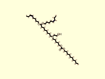 CC/C=C\CCCCOC(CCCCCCCN(CCO)CCCCCOC(=O)OCCCCCCCCCC)OCCCC/C=C\CC